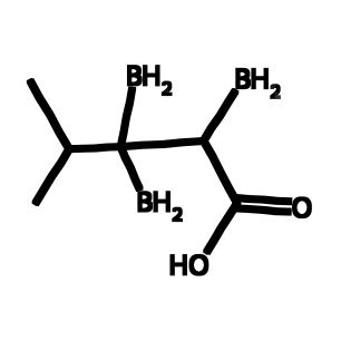 BC(C(=O)O)C(B)(B)C(C)C